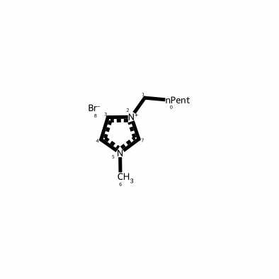 CCCCCC[n+]1ccn(C)c1.[Br-]